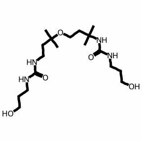 CC(C)(CCOC(C)(C)CCNC(=O)NCCCO)NC(=O)NCCCO